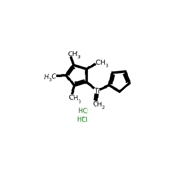 Cl.Cl.[CH2]=[Ti]([C]1=CC=CC1)[C]1=C(C)C(C)=C(C)C1C